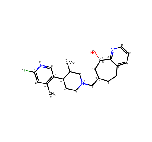 COC1CN(C[C@@H]2CCc3cccnc3[C@@H](O)C2)CCC1c1cnc(F)cc1C